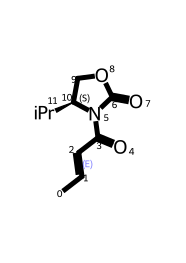 C/C=C/C(=O)N1C(=O)OC[C@@H]1C(C)C